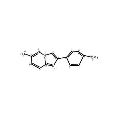 COc1ccc(-c2cn3nc(N)ccc3n2)cc1